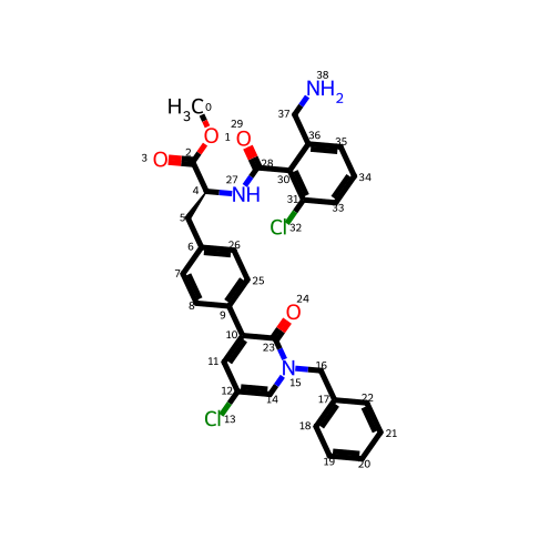 COC(=O)[C@H](Cc1ccc(-c2cc(Cl)cn(Cc3ccccc3)c2=O)cc1)NC(=O)c1c(Cl)cccc1CN